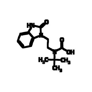 CC(C)(C)N(CCn1c(=O)[nH]c2ccccc21)C(=O)O